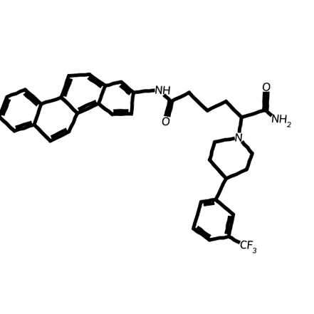 NC(=O)C(CCCC(=O)Nc1ccc2c(ccc3c4ccccc4ccc23)c1)N1CCC(c2cccc(C(F)(F)F)c2)CC1